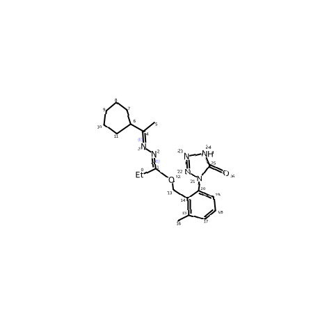 CC/C(=N\N=C(/C)C1CCCCC1)OCc1c(C)cccc1-n1nn[nH]c1=O